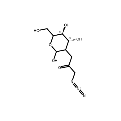 [N-]=[N+]=NCC(=O)CC1C(O)OC(CO)[C@@H](O)[C@@H]1O